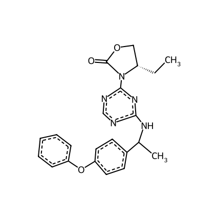 CC[C@H]1COC(=O)N1c1ncnc(NC(C)c2ccc(Oc3ccccc3)cc2)n1